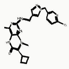 Cc1nc(NCc2cnn(Cc3ccc(Cl)nc3)c2)nc2c1NC(=O)[C@H](C1CCC1)N2C